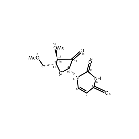 COC[C@H]1O[C@@H](n2ccc(=O)[nH]c2=O)C(=O)[C@@H]1OC